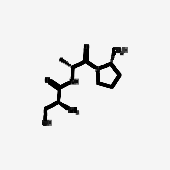 C[C@@H](NC(=O)[C@@H](N)CO)C(=O)N1CCC[C@H]1C(=O)O